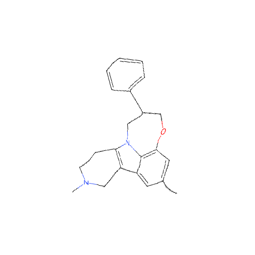 Cc1cc2c3c(c1)c1c(n3CC(c3ccccc3)CO2)CCN(C)C1